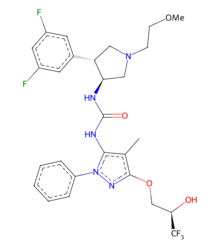 COCCN1C[C@@H](NC(=O)Nc2c(C)c(OC[C@@H](O)C(F)(F)F)nn2-c2ccccc2)[C@H](c2cc(F)cc(F)c2)C1